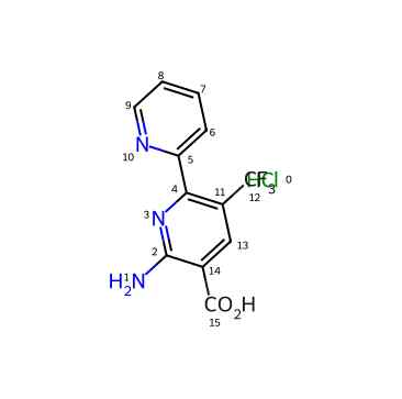 Cl.Nc1nc(-c2ccccn2)c(C(F)(F)F)cc1C(=O)O